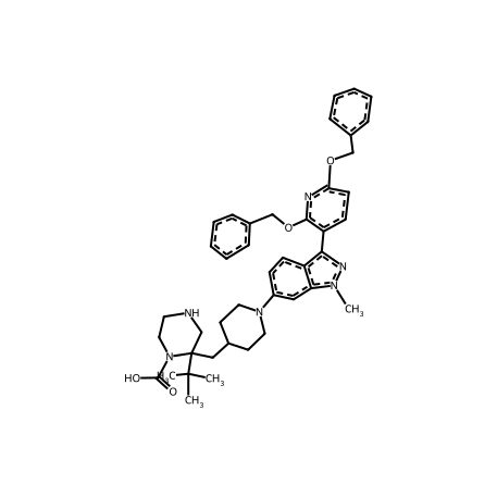 Cn1nc(-c2ccc(OCc3ccccc3)nc2OCc2ccccc2)c2ccc(N3CCC(CC4(C(C)(C)C)CNCCN4C(=O)O)CC3)cc21